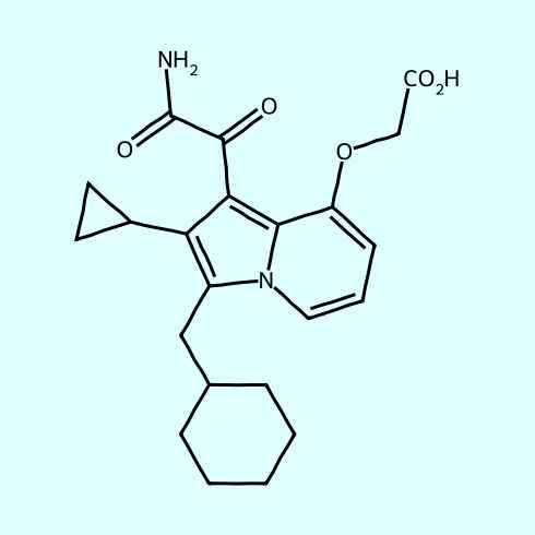 NC(=O)C(=O)c1c(C2CC2)c(CC2CCCCC2)n2cccc(OCC(=O)O)c12